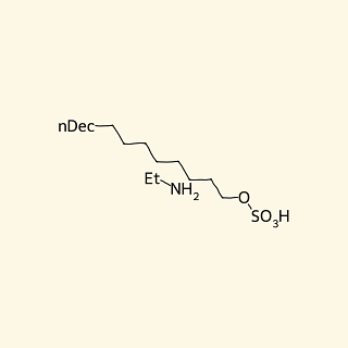 CCCCCCCCCCCCCCCCCCOS(=O)(=O)O.CCN